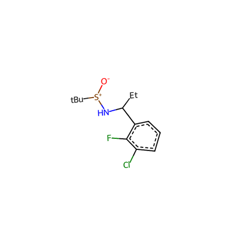 CCC(N[S+]([O-])C(C)(C)C)c1cccc(Cl)c1F